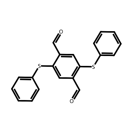 O=Cc1cc(Sc2ccccc2)c(C=O)cc1Sc1ccccc1